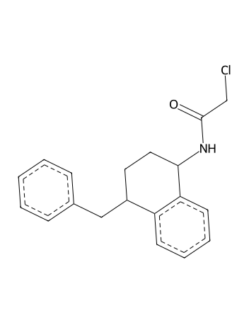 O=C(CCl)NC1CCC(Cc2ccccc2)c2ccccc21